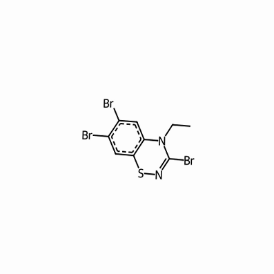 CCN1C(Br)=NSc2cc(Br)c(Br)cc21